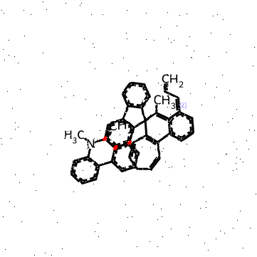 C=C/C=c1/cccc2c1=C(C)C1(C3=C2C=CCC=C3)c2ccccc2-c2cc(N(C)c3ccccc3-c3ccccc3C=C)ccc21